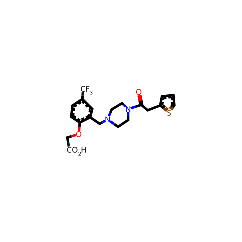 O=C(O)COc1ccc(C(F)(F)F)cc1CN1CCN(C(=O)Cc2cccs2)CC1